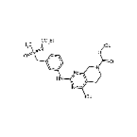 CCOC(=O)N=S(C)(=O)Cc1cccc(Nc2nc3c(c(C(C)(C)C)n2)CCN(C(=O)OC(C)(C)C)C3)c1